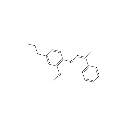 CCCc1ccc(OC=C(C)c2ccccc2)c(OC)c1